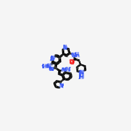 O=C(CC1CCNCC1)Nc1cncc(-c2cnc3[nH]nc(-c4cc5c(-c6ccccn6)cccc5[nH]4)c3c2)c1